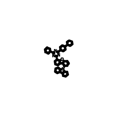 c1ccc(-c2ccc(-c3nc(-c4ccccc4)nc(-c4cccc5c4oc4cccc(-n6c7ccccc7c7ccccc76)c45)n3)cc2)cc1